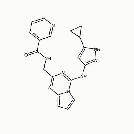 O=C(NCc1nc(Nc2cc(C3CC3)[nH]n2)n2cccc2n1)c1cnccn1